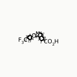 O=C(O)c1ccc2c(COc3ccc(C(F)(F)F)cc3)nccc2c1